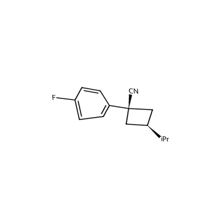 CC(C)[C@H]1C[C@](C#N)(c2ccc(F)cc2)C1